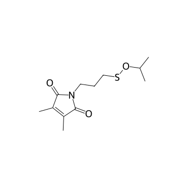 CC1=C(C)C(=O)N(CCCSOC(C)C)C1=O